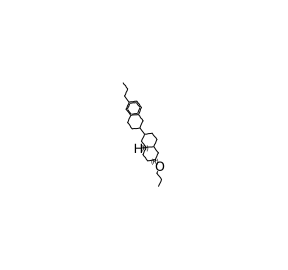 CCCO[C@@H]1CC[C@@H]2CC(C3CCc4cc(CCC)ccc4C3)CCC2C1